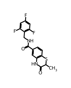 CC1Sc2ccc(C(=O)NCc3c(F)cc(F)cc3F)cc2NC1=O